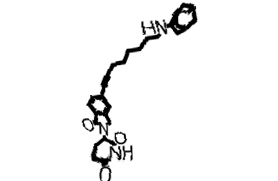 O=C1CCC(N2Cc3cc(C#CCCCCCCNC45CC6CC(CC4C6)C5)ccc3C2=O)C(=O)N1